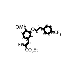 CCOC(=O)C(=Cc1ccc(OC)c(OCCc2ccc(C(F)(F)F)cc2)c1)CC